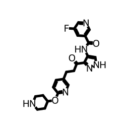 O=C(Nc1c[nH]nc1C(=O)CCc1ccc(OC2CCNCC2)nc1)c1cncc(F)c1